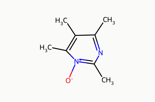 Cc1nc(C)[n+]([O-])c(C)c1C